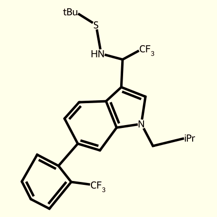 CC(C)Cn1cc(C(NSC(C)(C)C)C(F)(F)F)c2ccc(-c3ccccc3C(F)(F)F)cc21